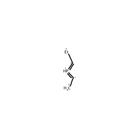 CC=[PH]=CCC